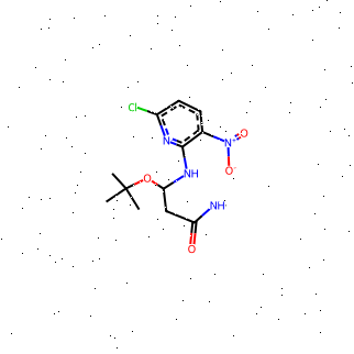 CC(C)(C)OC(CC([NH])=O)Nc1nc(Cl)ccc1[N+](=O)[O-]